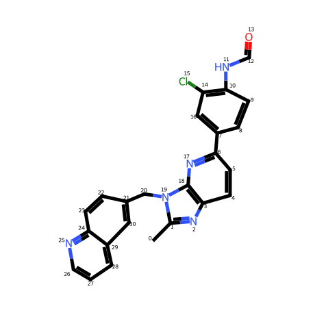 Cc1nc2ccc(-c3ccc(NC=O)c(Cl)c3)nc2n1Cc1ccc2ncccc2c1